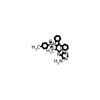 Cc1ccc(S(=O)(=O)n2c(C(C)c3nc4c(N)ncnc4[nH]3)c(-c3ccccc3)c3ccccc32)cc1